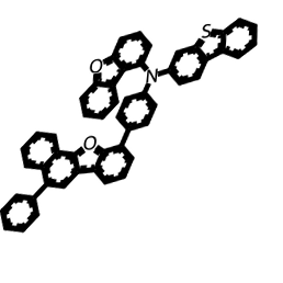 c1ccc(-c2cc3c4cccc(-c5ccc(N(c6ccc7c(c6)sc6ccccc67)c6cccc7oc8ccccc8c67)cc5)c4oc3c3ccccc23)cc1